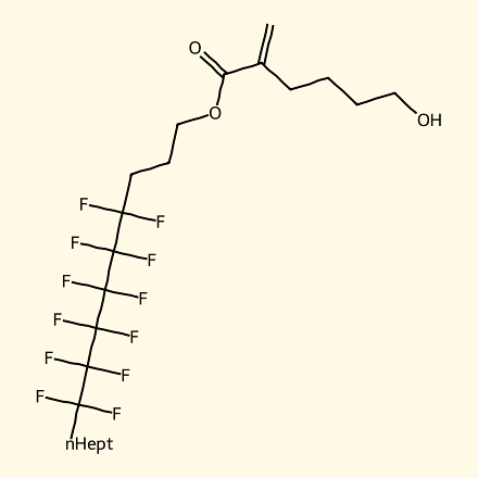 C=C(CCCCO)C(=O)OCCCC(F)(F)C(F)(F)C(F)(F)C(F)(F)C(F)(F)C(F)(F)CCCCCCC